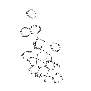 CC1CC2CCC3(c4c(-c5nc(-c6ccccc6)nc(-c6ccc(-c7ccccc7)c7ccccc67)n5)cccc4-c4cccc(-c5cccc6c5C(C)(C)c5ccccc5-6)c43)C(C1)C2